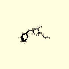 CCC(C)COC(=O)[C@@H](NC(=O)Cc1ccccc1)C(C)C